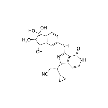 C[C@@H]1[C@@H](O)c2cc(Nc3nn([C@@H](CC#N)C4CC4)c4cc[nH]c(=O)c34)ccc2S1(O)O